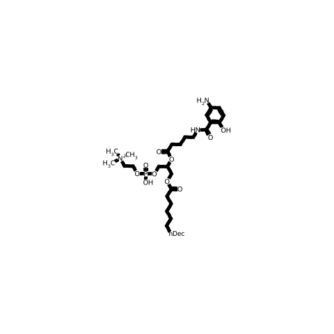 CCCCCCCCCCCCCCCC(=O)OCC(COP(=O)(O)OCC[N+](C)(C)C)OC(=O)CCCCNC(=O)c1cc(N)ccc1O